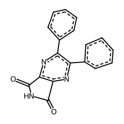 O=C1NC(=O)c2nc(-c3ccccc3)c(-c3ccccc3)nc21